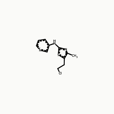 Cc1nc(Nc2cccnc2)sc1CCCl